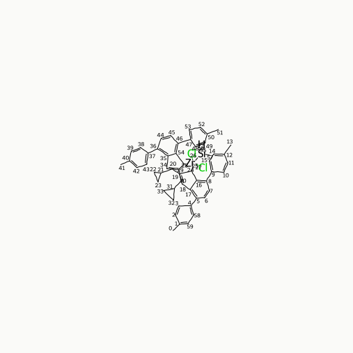 Cc1ccc(-c2ccc(-c3ccc(C)cc3)c3c2C=C(CC2CC2)[CH]3[Zr]([Cl])([Cl])([CH]2C(CC3CC3)=Cc3c(-c4ccc(C)cc4)ccc(-c4ccc(C)cc4)c32)[SiH](C)C)cc1